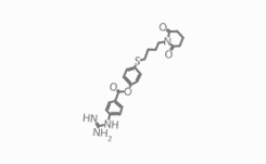 N=C(N)Nc1ccc(C(=O)Oc2ccc(SCCCCN3C(=O)CCCC3=O)cc2)cc1